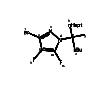 CCCCCCCC(C)(CCCC)n1nc(Br)c(I)c1F